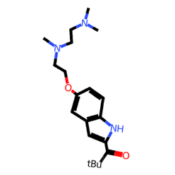 CN(C)CCN(C)CCOc1ccc2[nH]c(C(=O)C(C)(C)C)cc2c1